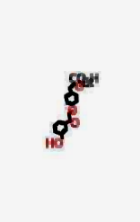 CCO[C@H](Cc1ccc(OCC(=O)c2cccc(CO)c2)cc1)C(=O)O